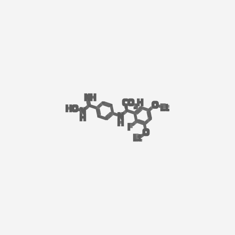 CCOc1cc(OCC)c(F)c([C@@H](Nc2ccc(C(=N)NO)cc2)C(=O)O)c1